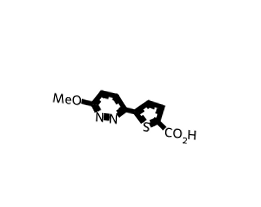 COc1ccc(-c2ccc(C(=O)O)s2)nn1